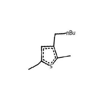 CCCCCc1cc(C)sc1C